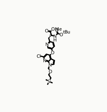 COC(=O)[C@H](Cc1ccc(Oc2cc(Cl)nc3c2ccn3COCC[Si](C)(C)C)cn1)NC(=O)OC(C)(C)C